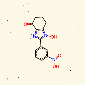 O=C1CCCc2c1nc(-c1cccc([N+](=O)O)c1)n2O